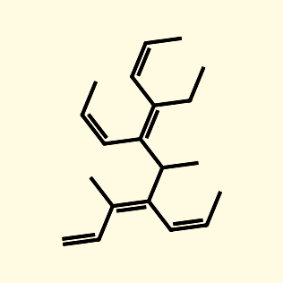 C=C/C(C)=C(\C=C/C)C(C)C(/C=C\C)=C(/C=C\C)CC